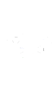 CN(C)Cc1cccc(OCCc2coc(-c3cc(C(C)(C)C)c(O)c(C(C)(C)C)c3)n2)c1.Cl